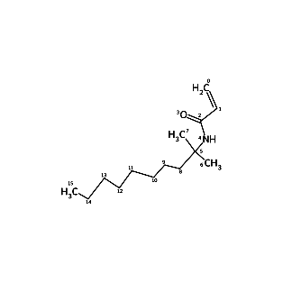 C=CC(=O)NC(C)(C)CCCCCCCC